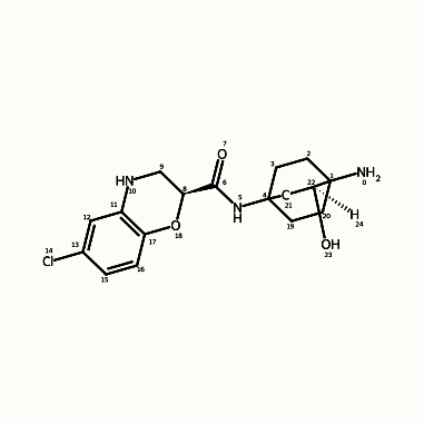 NC12CCC(NC(=O)[C@@H]3CNc4cc(Cl)ccc4O3)(CC1)C[C@@H]2O